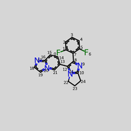 Fc1cccc(F)c1-c1nc2n(c1-c1ccc3nccn3c1)CCC2